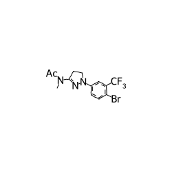 CC(=O)N(C)C1=NN(c2ccc(Br)c(C(F)(F)F)c2)CC1